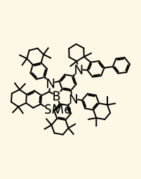 CSC1=C(C2B3c4cc5c(cc4N(c4ccc6c(c4)C(C)(C)CCC6(C)C)c4cc(N6c7ccc(-c8ccccc8)cc7C7(C)CCCCC67C)cc(c43)N2c2ccc3c(c2)C(C)(C)CCC3(C)C)C(C)(C)CCC5(C)C)C=C2C(C1)C(C)(C)CCC2(C)C